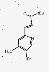 Cc1cc(/C=N/[S+]([O-])C(C)(C)C)ncc1C(C)C